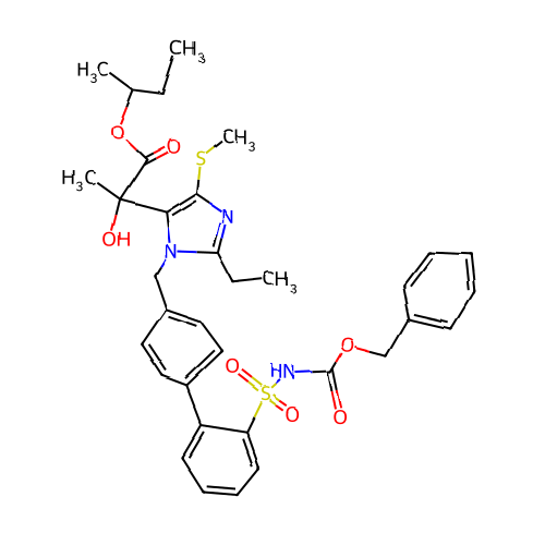 CCc1nc(SC)c(C(C)(O)C(=O)OC(C)CC)n1Cc1ccc(-c2ccccc2S(=O)(=O)NC(=O)OCc2ccccc2)cc1